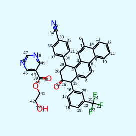 Cc1cc2c3c(ccc2c2ccccc12)C(c1cccc(C(F)(F)F)c1)C(=O)CC3c1ccc(C#N)cc1.O=C(OCCO)c1cncnc1